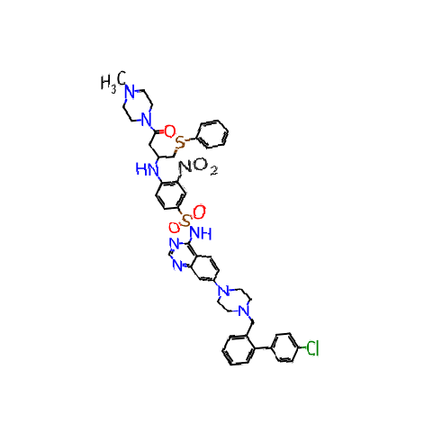 CN1CCN(C(=O)CC(CSc2ccccc2)Nc2ccc(S(=O)(=O)Nc3ncnc4cc(N5CCN(Cc6ccccc6-c6ccc(Cl)cc6)CC5)ccc34)cc2[N+](=O)[O-])CC1